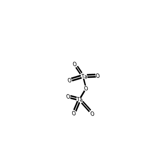 [O]=[Ta](=[O])(=[O])[O][Ta](=[O])(=[O])=[O]